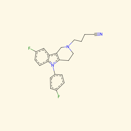 N#CCCCN1CCc2c(c3cc(F)ccc3n2-c2ccc(F)cc2)C1